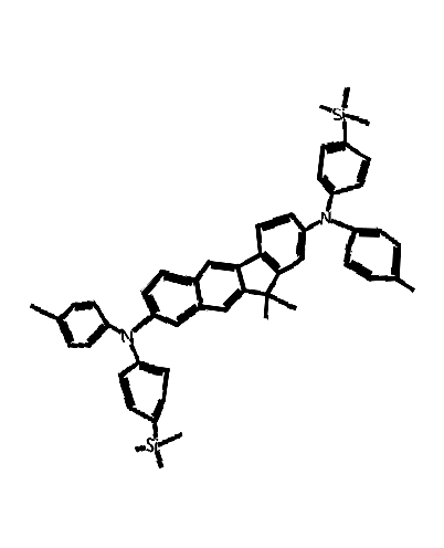 Cc1ccc(N(c2ccc([Si](C)(C)C)cc2)c2ccc3c(c2)C(C)(C)c2cc4cc(N(c5ccc(C)cc5)c5ccc([Si](C)(C)C)cc5)ccc4cc2-3)cc1